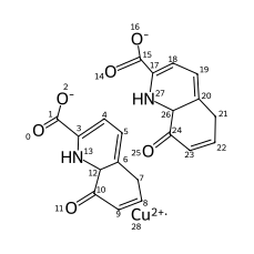 O=C([O-])C1=CC=C2CC=CC(=O)C2N1.O=C([O-])C1=CC=C2CC=CC(=O)C2N1.[Cu+2]